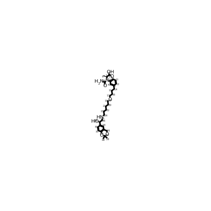 C[C@@H](C(=O)O)N(C(N)=O)c1cccc(CCCCOCCCCCCNC[C@H](O)c2ccc3c(c2)COC(C)(C)O3)c1